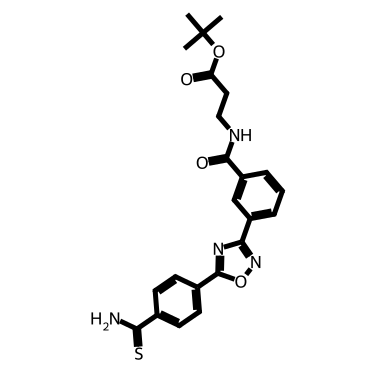 CC(C)(C)OC(=O)CCNC(=O)c1cccc(-c2noc(-c3ccc(C(N)=S)cc3)n2)c1